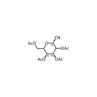 CC(=O)OCC1O[C@@H](C#N)C(OC(C)=O)[C@@H](OC(C)=O)[C@H]1OC(C)=O